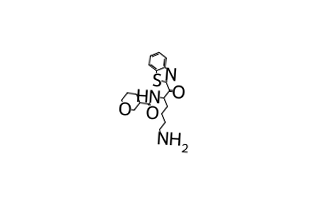 NCCCCC(NC(=O)C1CCCOC1)C(=O)c1nc2ccccc2s1